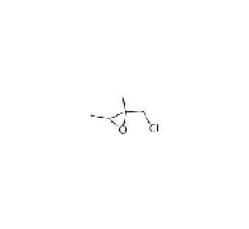 CC1OC1(C)CCl